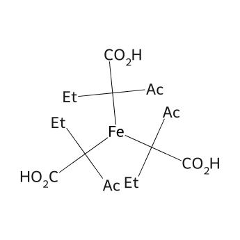 CC[C](C(C)=O)(C(=O)O)[Fe]([C](CC)(C(C)=O)C(=O)O)[C](CC)(C(C)=O)C(=O)O